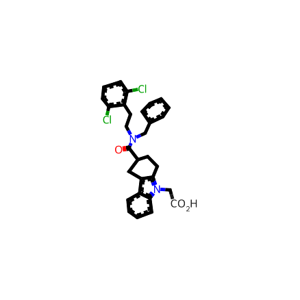 O=C(O)Cn1c2c(c3ccccc31)CC(C(=O)N(CCc1c(Cl)cccc1Cl)Cc1ccccc1)CC2